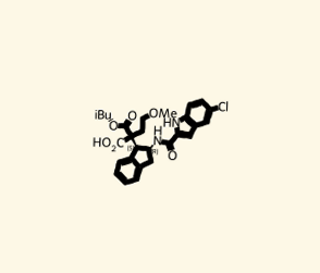 CCC(C)OC(=O)C(CCOC)(C(=O)O)[C@@H]1c2ccccc2C[C@H]1NC(=O)c1cc2cc(Cl)ccc2[nH]1